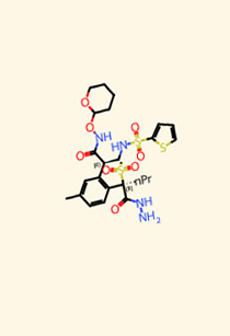 CCC[C@](C(=O)NN)(c1ccc(C)cc1[C@H](CNS(=O)(=O)c1cccs1)C(=O)NOC1CCCCO1)S(C)(=O)=O